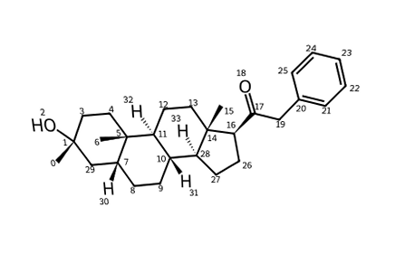 C[C@@]1(O)CC[C@@]2(C)[C@H](CC[C@@H]3[C@@H]2CC[C@]2(C)[C@@H](C(=O)Cc4ccccc4)CC[C@@H]32)C1